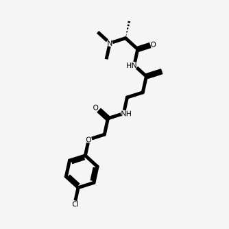 C=C(CCNC(=O)COc1ccc(Cl)cc1)NC(=O)[C@@H](C)N(C)C